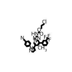 Cc1c(-c2ccnn2-c2ccc(C#N)cc2)cn2nc(NC(=O)OCCCCl)nc2c1-c1cccc(C(F)(F)F)c1